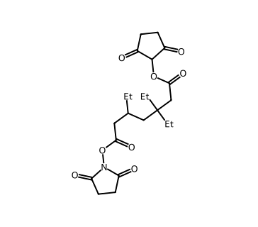 CCC(CC(=O)ON1C(=O)CCC1=O)CC(CC)(CC)CC(=O)OC1C(=O)CCC1=O